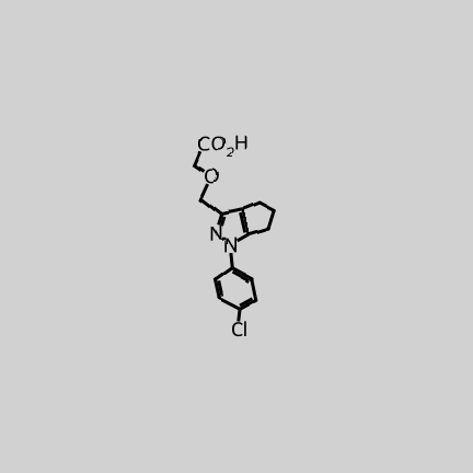 O=C(O)COCc1nn(-c2ccc(Cl)cc2)c2c1CCC2